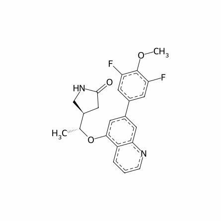 COc1c(F)cc(-c2cc(O[C@H](C)[C@H]3CNC(=O)C3)c3cccnc3c2)cc1F